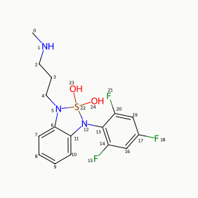 CNCCCN1c2ccccc2N(c2c(F)cc(F)cc2F)S1(O)O